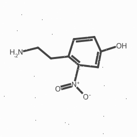 NCCc1ccc(O)cc1[N+](=O)[O-]